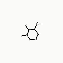 CC1C(C(=O)O)OCCN1C